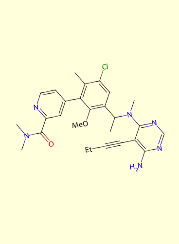 CCC#Cc1c(N)ncnc1N(C)C(C)c1cc(Cl)c(C)c(-c2ccnc(C(=O)N(C)C)c2)c1OC